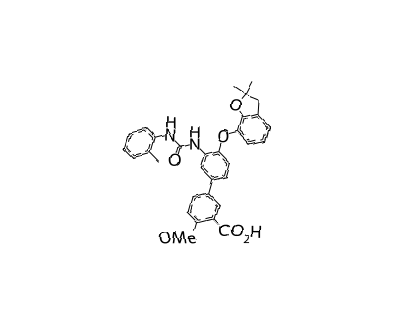 COc1ccc(-c2ccc(Oc3cccc4c3OC(C)(C)C4)c(NC(=O)Nc3ccccc3C)c2)cc1C(=O)O